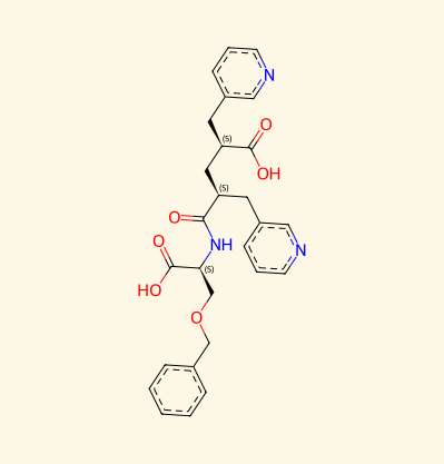 O=C(O)[C@H](Cc1cccnc1)C[C@@H](Cc1cccnc1)C(=O)N[C@@H](COCc1ccccc1)C(=O)O